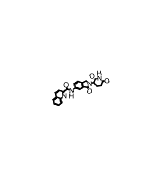 O=C1CCC(N2Cc3ccc(NC(=O)c4ccc5ccccc5n4)cc3C2=O)C(=O)N1